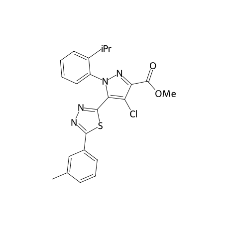 COC(=O)c1nn(-c2ccccc2C(C)C)c(-c2nnc(-c3cccc(C)c3)s2)c1Cl